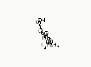 CC(=O)C(C)Oc1ccc(-c2coc3cc(OCCCCCC(=O)O)ccc3c2=O)cc1